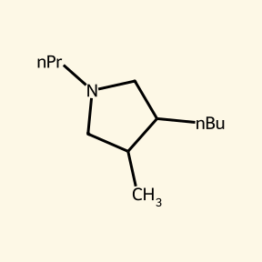 CCCCC1CN(CCC)CC1C